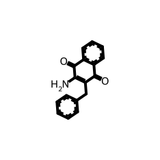 NC1=C(Cc2ccccc2)C(=O)c2ccccc2C1=O